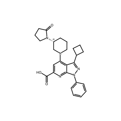 O=C(O)c1cc(N2CCC[C@@H](N3CCCC3=O)C2)c2c(C3CCC3)nn(-c3ccccc3)c2n1